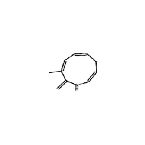 C=C1N/C=C\C/C=C\C=C/1C